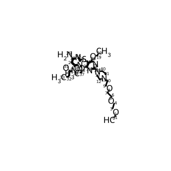 C#COCCOCCOCCN1CCN(c2nc(OCC)c(Sc3nc(N)cc(NC(=O)CC)n3)c(OCC)n2)CC1